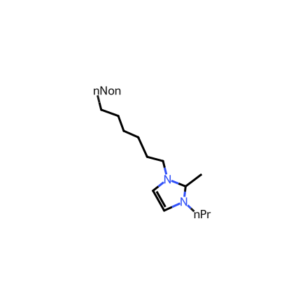 CCCCCCCCCCCCCCCN1C=CN(CCC)C1C